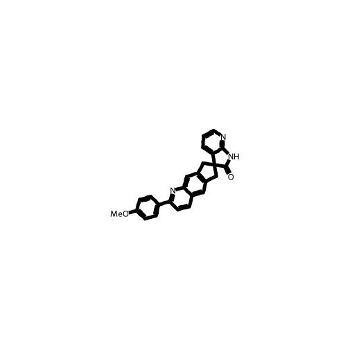 COc1ccc(-c2ccc3cc4c(cc3n2)CC2(C4)C(=O)Nc3ncccc32)cc1